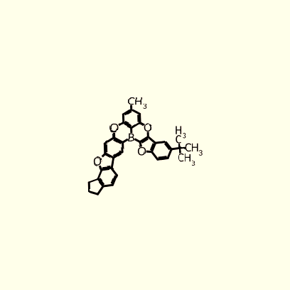 Cc1cc2c3c(c1)Oc1c(oc4ccc(C(C)(C)C)cc14)B3c1cc3c(cc1O2)oc1c2c(ccc13)CCC2